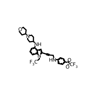 O=S(=O)(c1ccc(NCC#Cc2cc3c(NC4CCN(C5CCOCC5)CC4)cccc3n2CC(F)(F)F)cc1)C(F)(F)F